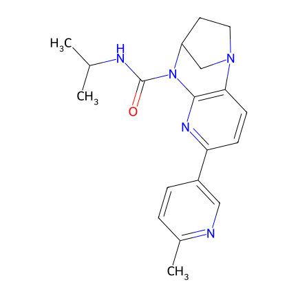 Cc1ccc(-c2ccc3c(n2)N(C(=O)NC(C)C)C2CCN3C2)cn1